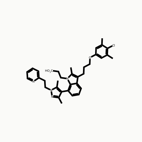 Cc1cc(OCCCc2c(C)n(CCC(=O)O)c3c(-c4c(C)nn(CCc5ccccn5)c4C)cccc23)cc(C)c1Cl